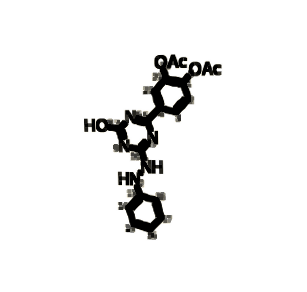 CC(=O)Oc1ccc(-c2nc(O)nc(NNc3ccccc3)n2)cc1OC(C)=O